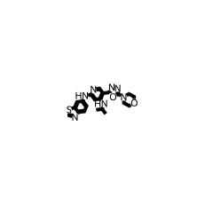 CC(C)Nc1cc(Nc2ccc3ncsc3c2)ncc1-c1nnc(N2CCOCC2)o1